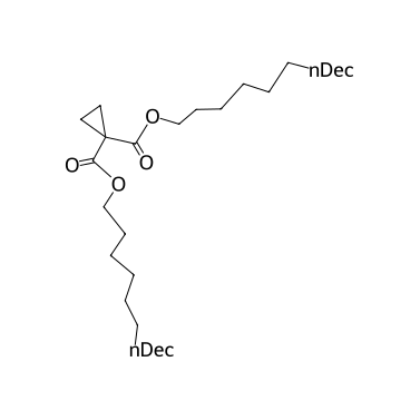 CCCCCCCCCCCCCCCCOC(=O)C1(C(=O)OCCCCCCCCCCCCCCCC)CC1